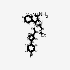 CCOCc1nc2c(N)nc3ccccc3c2n1CCc1cc(-c2ccc(F)cc2)no1